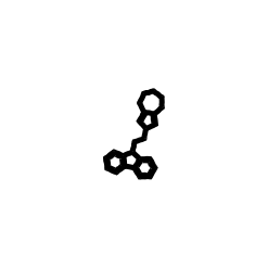 C1=C2CCCCCC2=CC1CCC1c2ccccc2-c2ccccc21